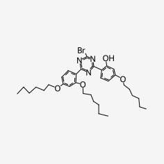 CCCCCCOc1ccc(-c2nc(Br)nc(-c3ccc(OCCCCCC)cc3OCCCCCC)n2)c(O)c1